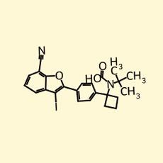 CC(C)(C)N(C(=O)O)C1(c2ccc(-c3oc4c(C#N)cccc4c3I)cc2)CCC1